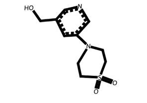 O=S1(=O)CCN(c2cncc(CO)c2)CC1